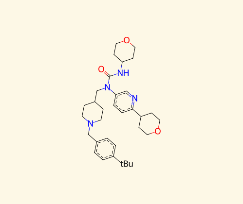 CC(C)(C)c1ccc(CN2CCC(CN(C(=O)NC3CCOCC3)c3ccc(C4CCOCC4)nc3)CC2)cc1